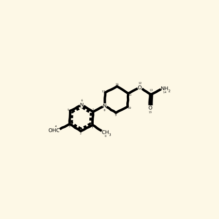 Cc1cc(C=O)cnc1N1CCC(OC(N)=O)CC1